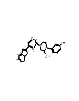 Cc1cccc(N2CCN(c3cncc(-c4cc5ccccc5s4)n3)CC2C)c1